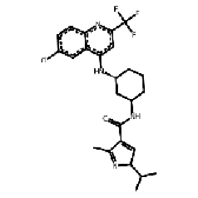 CC1=NC(C(C)C)C=C1C(=O)N[C@@H]1CCC[C@H](Nc2cc(C(F)(F)F)nc3ccc(Cl)cc23)C1